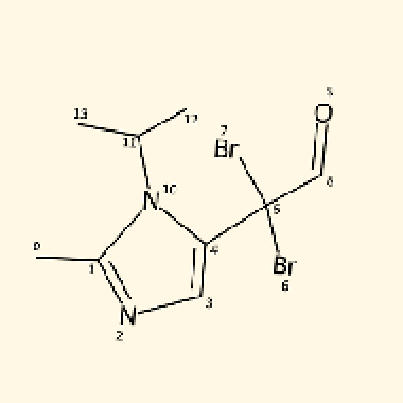 Cc1ncc(C(Br)(Br)C=O)n1C(C)C